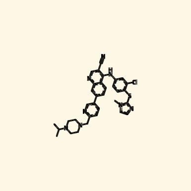 CC(C)N1CCN(Cc2ccc(-c3ccc4c(Nc5ccc(Sc6nccn6C)c(Cl)c5)c(C#N)cnc4c3)cn2)CC1